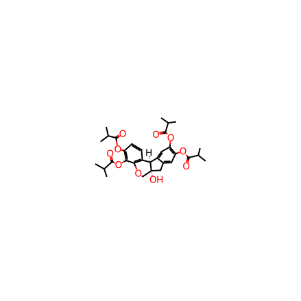 CC(C)C(=O)Oc1cc2c(cc1OC(=O)C(C)C)[C@@H]1c3ccc(OC(=O)C(C)C)c(OC(=O)C(C)C)c3OC[C@]1(O)C2